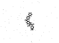 CC(C)n1c(C(=O)N2CCC(F)(F)CC2)cc2cc(C(=O)N3CCC(N4CCCCC4)CC3)ccc21